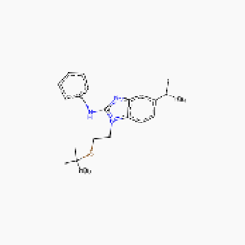 CCCCC(C)c1ccc2c(c1)nc(Nc1ccccc1)n2CCSC(C)(C)CCCC